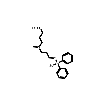 CCOC(=O)CCCN(C)CCCO[Si](c1ccccc1)(c1ccccc1)C(C)(C)C